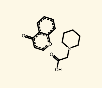 O=C(O)CN1CCCCC1.O=c1ccoc2ccccc12